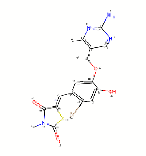 Cc1nc(N)ncc1C(C)Oc1cc(/C=C2\SC(=O)N(C)C2=O)c(Br)cc1O